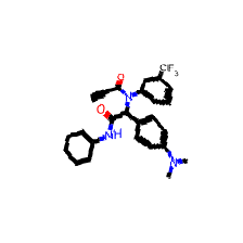 C#CC(=O)N(c1cccc(C(F)(F)F)c1)C(C(=O)NC1CCCCC1)c1ccc(N(C)C)cc1